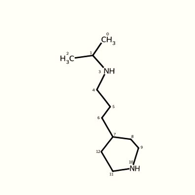 CC(C)NCCCC1CCNCC1